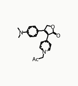 CC(=O)C[n+]1ccc(C2=C(c3ccc(N(C)C)cc3)COC2=O)cc1